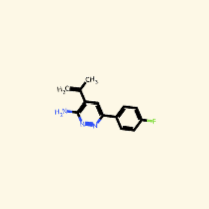 C=C(C)c1cc(-c2ccc(F)cc2)nnc1N